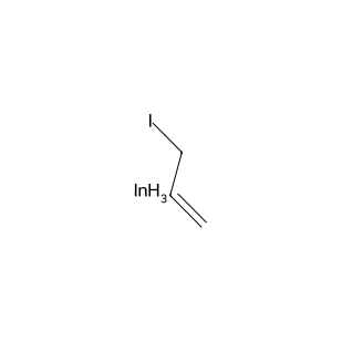 C=CCI.[InH3]